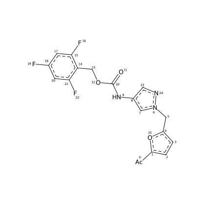 CC(=O)c1ccc(Cn2cc(NC(=O)OCc3c(F)cc(F)cc3F)cn2)o1